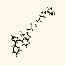 Cn1cc(-c2ccnc3c2C(=O)N(CCCCNCCCNC(=N)N)C3)c(-c2ccc(F)cc2)n1